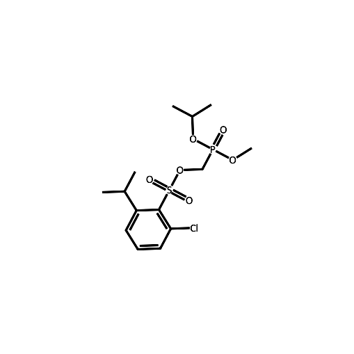 COP(=O)(COS(=O)(=O)c1c(Cl)cccc1C(C)C)OC(C)C